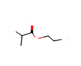 CCCCCCCCCOC(=O)C(C)CCCC